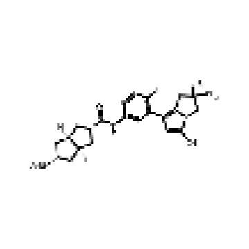 CC(=O)N[C@H]1C[C@@H]2C[C@H](C(=O)Nc3cc(-c4cc(C#N)n5c4CC(C)(C)C5)c(F)cn3)C[C@@H]2C1